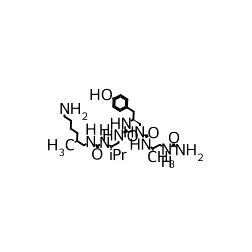 CC(CNC(N)=O)NC(=O)NC[C@H](Cc1ccc(O)cc1)NC(=O)NCC(NC(=O)NC[C@@H](C)CCCCN)C(C)C